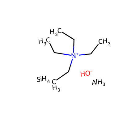 CC[N+](CC)(CC)CC.[AlH3].[OH-].[SiH4]